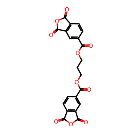 O=C(OCCCOC(=O)c1ccc2c(c1)C(=O)OC2=O)c1ccc2c(c1)C(=O)OC2=O